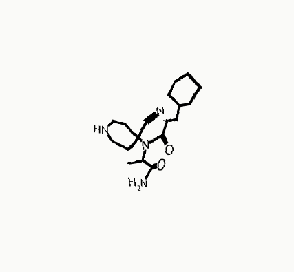 CC(C(N)=O)N(C(=O)[CH]CC1CCCCC1)C1(C#N)CCNCC1